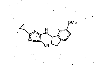 COc1ccc2c(c1)C(Nc1nc(C3CC3)ncc1C#N)CC2